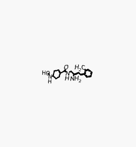 C=c1cccc/c1=C/C=C(\N)CNC(=O)C1CCC(NO)CC1